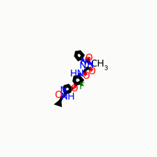 Cn1c(=O)c(C(=O)Nc2ccc(Oc3ccnc(NC(=O)C4CC4)c3)c(F)c2)nn(-c2ccccc2)c1=O